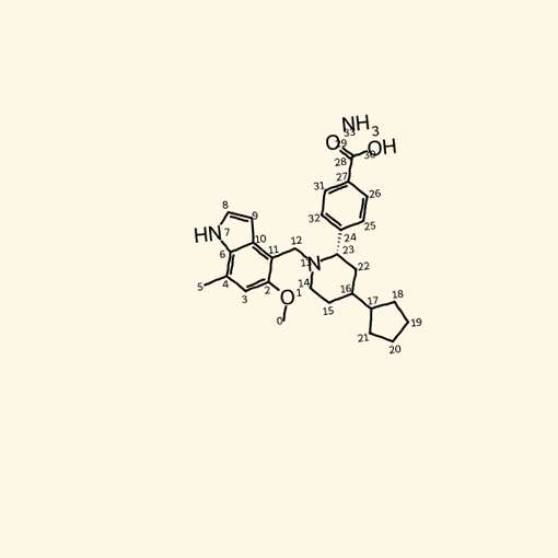 COc1cc(C)c2[nH]ccc2c1CN1CCC(C2CCCC2)C[C@H]1c1ccc(C(=O)O)cc1.N